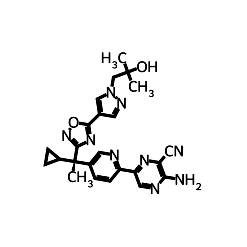 CC(C)(O)Cn1cc(-c2nc([C@](C)(c3ccc(-c4cnc(N)c(C#N)n4)nc3)C3CC3)no2)cn1